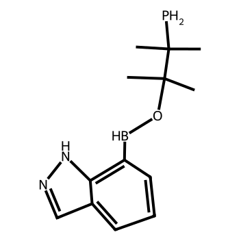 CC(C)(P)C(C)(C)OBc1cccc2cn[nH]c12